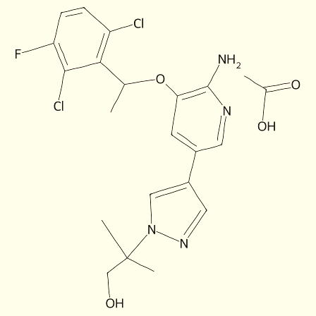 CC(=O)O.CC(Oc1cc(-c2cnn(C(C)(C)CO)c2)cnc1N)c1c(Cl)ccc(F)c1Cl